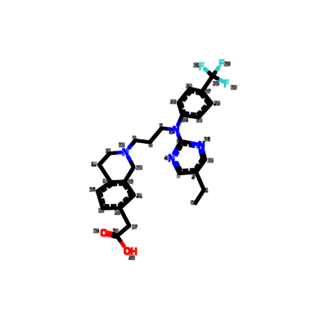 CCc1cnc(N(CCCN2CCc3ccc(CC(=O)O)cc3C2)c2ccc(C(F)(F)F)cc2)nc1